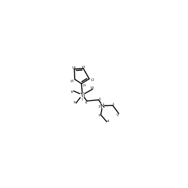 CCN(CC)C[CH2][Ti]([CH3])([CH3])([CH3])[C]1=CC=CC1